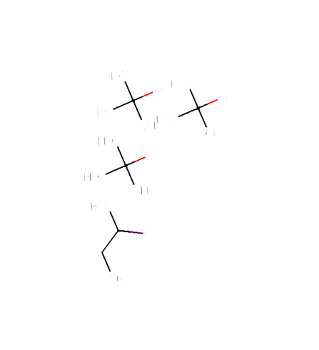 CC(C)(C)[O-].CC(C)(C)[O-].CC(C)(C)[O-].CC(I)[CH2][Sn+3]